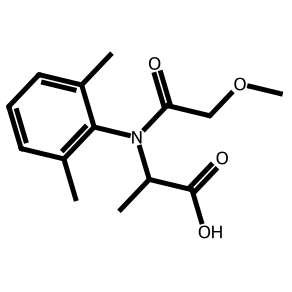 COCC(=O)N(c1c(C)cccc1C)C(C)C(=O)O